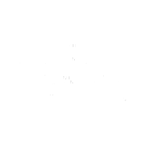 O=C(NN=C(C=NO)c1ccc(Br)cc1)c1ccccc1